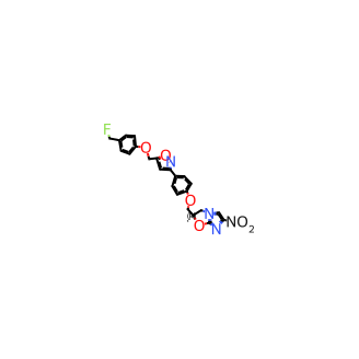 C[C@]1(COc2ccc(-c3cc(COc4ccc(CF)cc4)on3)cc2)Cn2cc([N+](=O)[O-])nc2O1